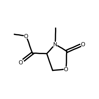 COC(=O)C1COC(=O)N1C